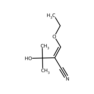 CCOC=C(C#N)C(C)(C)O